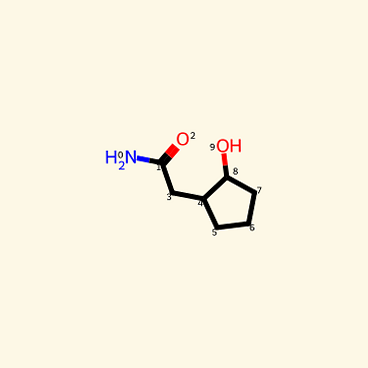 NC(=O)CC1CCCC1O